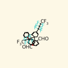 O=Cc1ccc(C=O)c(C2(C(F)(F)C(F)(F)C(F)(F)C(F)(F)F)CC=C(C(F)(F)C(F)(F)C(F)(F)C(F)(F)F)C=C2c2ccccc2-c2ccccc2)c1